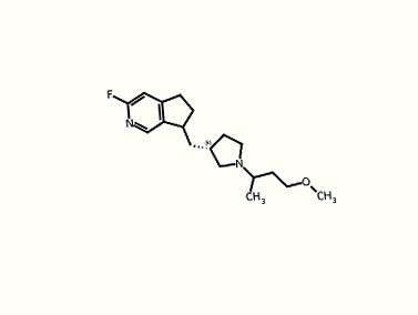 COCCC(C)N1CC[C@@H](CC2CCc3cc(F)ncc32)C1